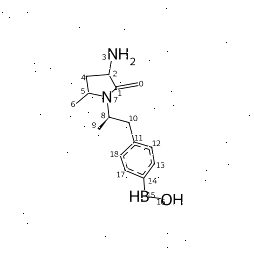 C=C1C(N)CC(C)N1[C@H](C)Cc1ccc(BO)cc1